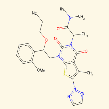 COc1ccccc1C(Cn1c(=O)n(C(C)C(=O)N(C)C(C)C)c(=O)c2c(C)c(-n3nccn3)sc21)OCCC#N